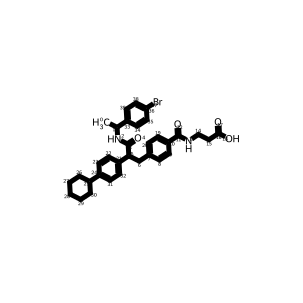 CC(NC(=O)C(Cc1ccc(C(=O)NCCC(=O)O)cc1)c1ccc(C2CCCCC2)cc1)c1ccc(Br)cc1